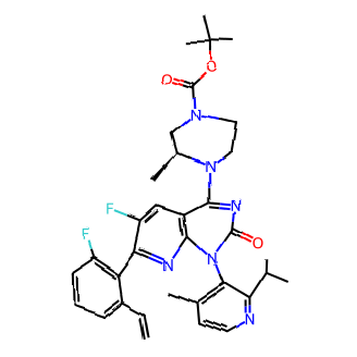 C=Cc1cccc(F)c1-c1nc2c(cc1F)c(N1CCN(C(=O)OC(C)(C)C)C[C@@H]1C)nc(=O)n2-c1c(C)ccnc1C(C)C